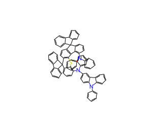 c1ccc(N(c2ccc3c(c2)c2ccccc2n3-c2ccccc2)c2cccc3c2Sc2c(ccc4c2-c2c(N(c5ccccc5)c5ccccc5)cccc2C42c4ccccc4-c4ccccc42)C32c3ccccc3-c3ccccc32)cc1